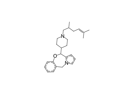 CC(C)=CCC(C)CN1CCC(C2Oc3ccccc3Cn3cccc32)CC1